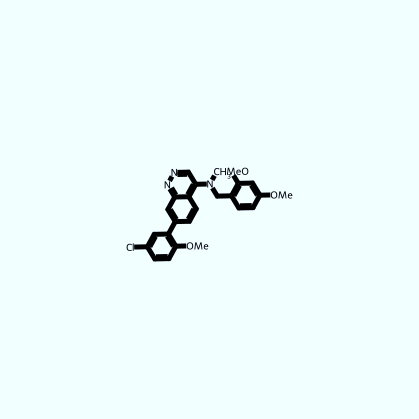 COc1ccc(CN(C)c2cnnc3cc(-c4cc(Cl)ccc4OC)ccc23)c(OC)c1